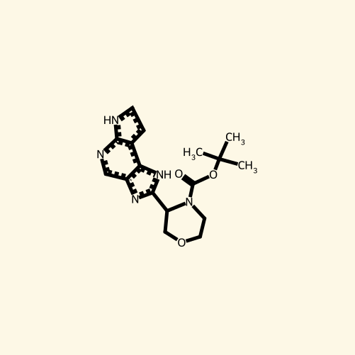 CC(C)(C)OC(=O)N1CCOCC1c1nc2cnc3[nH]ccc3c2[nH]1